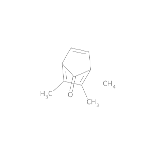 C.CC1=C2C=CC(=C1C)C2=O